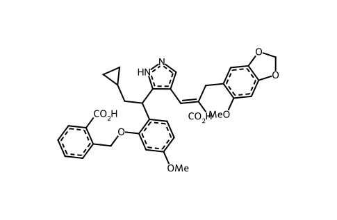 COc1ccc(C(CC2CC2)c2[nH]ncc2/C=C(\Cc2cc3c(cc2OC)OCO3)C(=O)O)c(OCc2ccccc2C(=O)O)c1